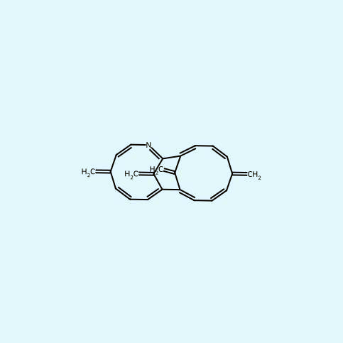 C=c1cccc2c(=C)c(ccc1)c1nccc(=C)cccc2c1=C